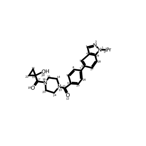 CC(C)n1ncc2cc(-c3ccc(C(=O)N4CCN(C(=O)C5(O)CC5)CC4)cc3)ccc21